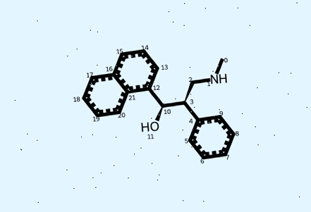 CNC[C@@H](c1ccccc1)[C@@H](O)c1cccc2ccccc12